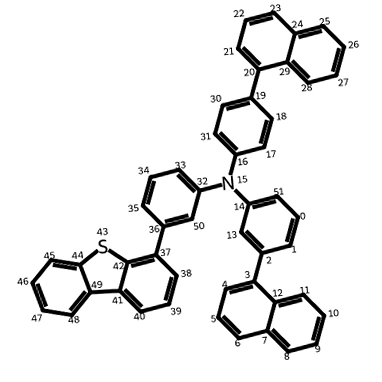 c1cc(-c2cccc3ccccc23)cc(N(c2ccc(-c3cccc4ccccc34)cc2)c2cccc(-c3cccc4c3sc3ccccc34)c2)c1